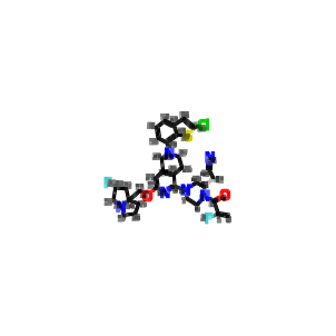 C=C(F)C(=O)N1CCN(c2nc(OCC34CCCN3C[C@H](F)C4)cc3c2CCN(c2cccc4cc(Cl)sc24)C3)C[C@@H]1CC#N